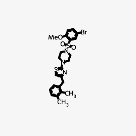 COc1ccc(Br)cc1S(=O)(=O)N1CCN(c2nc(Cc3cccc(C)c3C)cs2)CC1